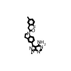 Cc1ccc(F)c(CC(=O)N2CCc3cc(-c4nn(C)c5ncnc(N)c45)ccc32)c1